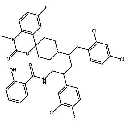 CN1C(=O)OC2(CCN(C(Cc3ccc(Cl)cc3Cl)CC(CNC(=O)c3ccccc3O)c3ccc(Cl)c(Cl)c3)CC2)c2cc(F)ccc21